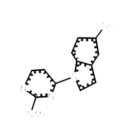 CNc1nccc(-n2ccc3cc([N+](=O)[O-])ccc32)n1